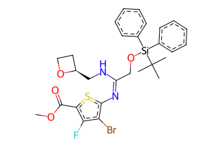 COC(=O)c1sc(/N=C(/CO[Si](c2ccccc2)(c2ccccc2)C(C)(C)C)NC[C@@H]2CCO2)c(Br)c1F